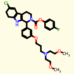 COCCN(CCCOc1cccc(C2c3[nH]c4c(c3CCN2C(=O)Oc2ccc(F)cc2)C=C(Cl)CC4)c1)CCOC